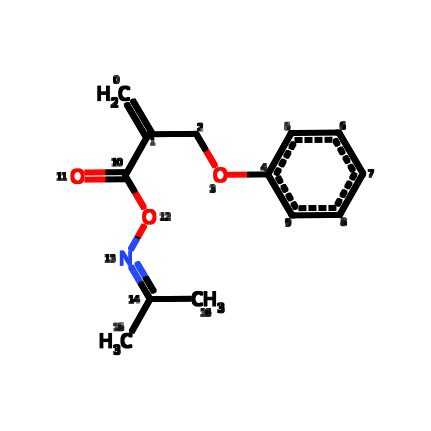 C=C(COc1ccccc1)C(=O)ON=C(C)C